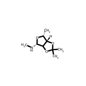 CN[C@@H]1O[C@H](C)[C@@H]2OC(C)(C)OC12